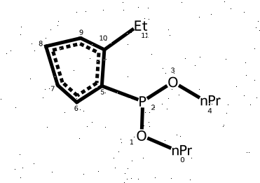 CCCOP(OCCC)c1ccccc1CC